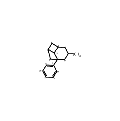 CC1CC2CC3CC(c4ccccc4)(C1)C23